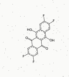 O=C1c2cc(F)c(F)cc2C(=O)c2c1c(O)c1cc(F)c(F)cc1c2O